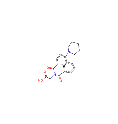 O=C(O)CN1C(=O)c2cccc3c(N4CCCCC4)ccc(c23)C1=O